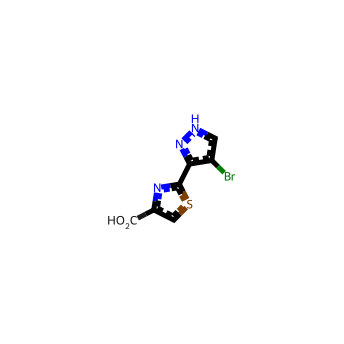 O=C(O)c1csc(-c2n[nH]cc2Br)n1